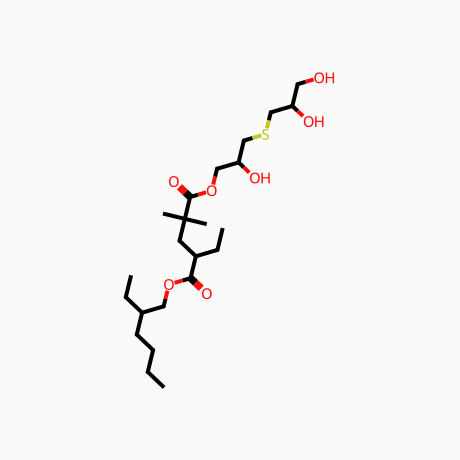 CCCCC(CC)COC(=O)C(CC)CC(C)(C)C(=O)OCC(O)CSCC(O)CO